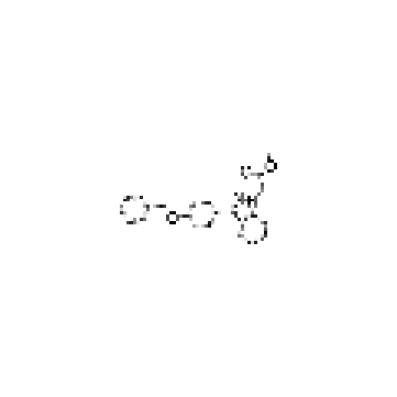 COC(=O)Cn1nc(-c2ccc(OCc3ccccc3)cc2)c2ccccc21